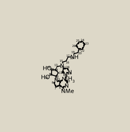 CNc1ncnc2c1ccn2[C@@H]1C[C@H](CN(CCCNCCc2ccccc2)c2cnn(C)c2)[C@@H](O)[C@H]1O